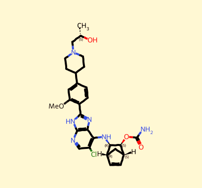 COc1cc(C2CCN(C[C@H](C)O)CC2)ccc1-c1nc2c(N[C@H]3[C@@H](OC(N)=O)[C@@H]4C=C[C@H]3C4)c(Cl)cnc2[nH]1